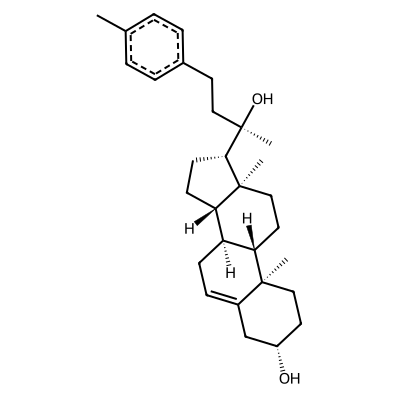 Cc1ccc(CC[C@@](C)(O)[C@H]2CC[C@H]3[C@@H]4CC=C5C[C@@H](O)CC[C@]5(C)[C@H]4CC[C@@]32C)cc1